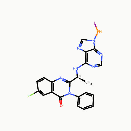 C[C@H](Nc1ncnc2c1ncn2PI)c1nc2ccc(F)cc2c(=O)n1-c1ccccc1